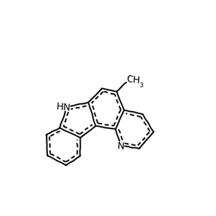 Cc1cc2[nH]c3ccccc3c2c2ncccc12